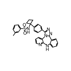 Cc1cccc(S(=O)(=O)NC2(c3ccc(-c4nnc5n4-c4cccnc4Nc4ccccc4-5)cc3)CCC2)c1